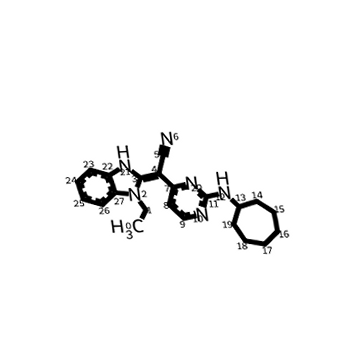 CCN1C(=C(C#N)c2ccnc(NC3CCCCCC3)n2)Nc2ccccc21